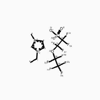 CC[n+]1ccn(C)c1.O=S(=O)([O-])C(F)(F)C(F)(F)OC(F)(F)C(F)(F)F